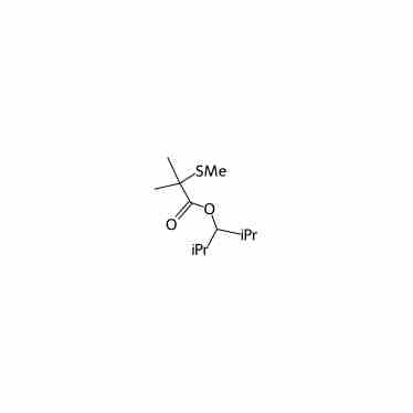 CSC(C)(C)C(=O)OC(C(C)C)C(C)C